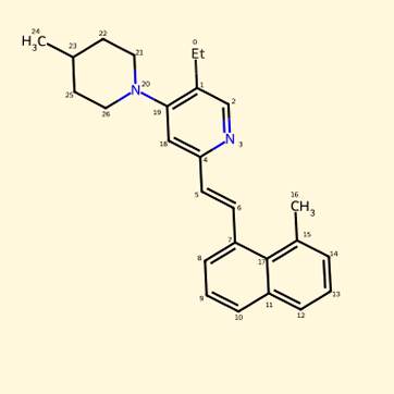 CCc1cnc(C=Cc2cccc3cccc(C)c23)cc1N1CCC(C)CC1